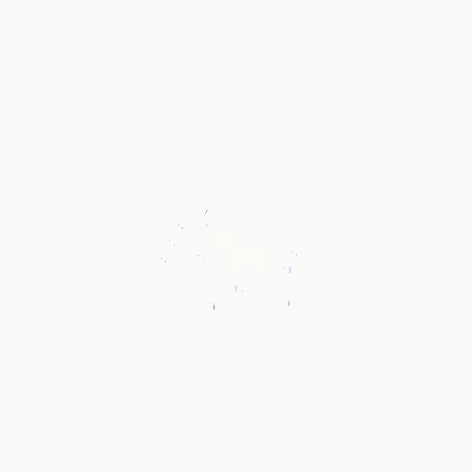 CC(C)C[C@H](NC(=O)[C@H](Cc1ccccc1)N=[N+]=[N-])C(=O)N[C@@H](CC(C)C)C(=O)NN